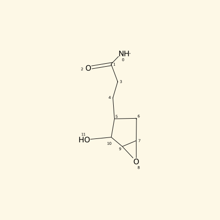 [NH]C(=O)CCC1CC2OC2C1O